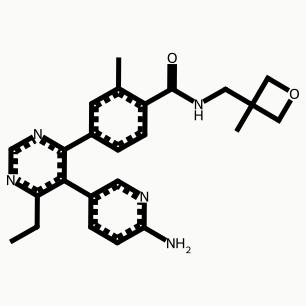 CCc1ncnc(-c2ccc(C(=O)NCC3(C)COC3)c(C)c2)c1-c1ccc(N)nc1